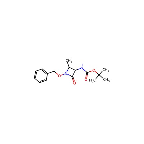 CC1C(NC(=O)OC(C)(C)C)C(=O)N1OCc1ccccc1